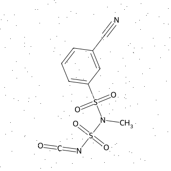 CN(S(=O)(=O)N=C=O)S(=O)(=O)c1cccc(C#N)c1